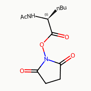 CCCC[C@H](NC(C)=O)C(=O)ON1C(=O)CCC1=O